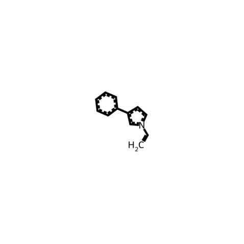 C=Cn1ccc(-c2ccccc2)c1